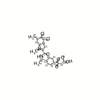 Cc1cc2c(cc(C(=O)N[C@@H](C)c3ccc(S(=O)(=O)CC(=O)O)cc3)n2C)c(Cl)c1Cl